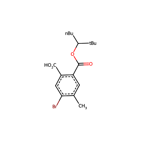 CCCCC(OC(=O)c1cc(C)c(Br)cc1C(=O)O)C(C)(C)C